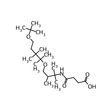 CC(COC(C)(C)C(C)(C)CCOC(C)(C)C)C(C)(C)NC(=O)CCC(=O)O